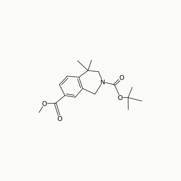 COC(=O)c1ccc2c(c1)CN(C(=O)OC(C)(C)C)CC2(C)C